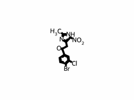 Cc1nc(CC(=O)c2ccc(Br)c(Cl)c2)c([N+](=O)[O-])[nH]1